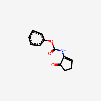 O=C(NC1=CCCC1=O)Oc1ccccc1